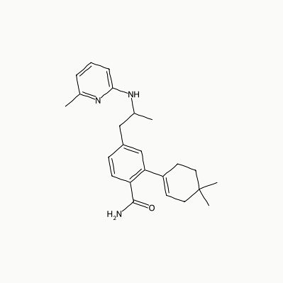 Cc1cccc(NC(C)Cc2ccc(C(N)=O)c(C3=CCC(C)(C)CC3)c2)n1